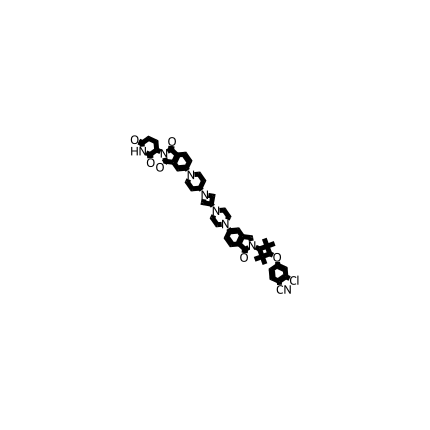 CC1(C)C(Oc2ccc(C#N)c(Cl)c2)C(C)(C)C1N1Cc2cc(N3CCN(C4CN(C5CCN(c6ccc7c(c6)C(=O)N(C6CCC(=O)NC6=O)C7=O)CC5)C4)CC3)ccc2C1=O